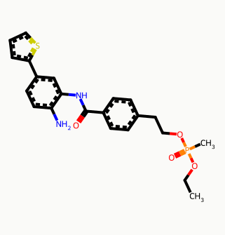 CCOP(C)(=O)OCCc1ccc(C(=O)Nc2cc(-c3cccs3)ccc2N)cc1